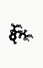 CC(C)C(Br)C(=O)Nc1c(C(N)=O)oc2ccc(Br)cc12